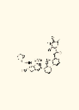 COc1nc(-c2cccc(-c3cccc(NC(=O)c4cn(C)c(=O)n(C)c4=O)c3Cl)c2Cl)cc2c1[C@@H](NC[C@@H]1CCCO1)[C@@H](O)C2